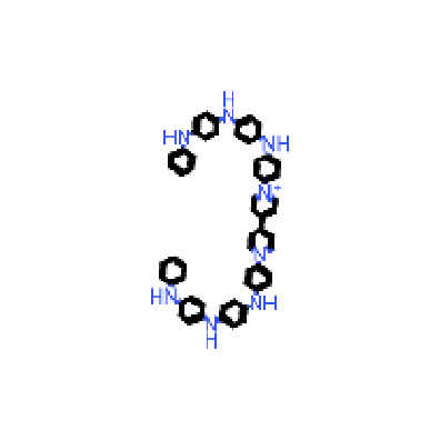 c1ccc(Nc2ccc(Nc3ccc(Nc4ccc(-[n+]5ccc(-c6cc[n+](-c7ccc(Nc8ccc(Nc9ccc(Nc%10ccccc%10)cc9)cc8)cc7)cc6)cc5)cc4)cc3)cc2)cc1